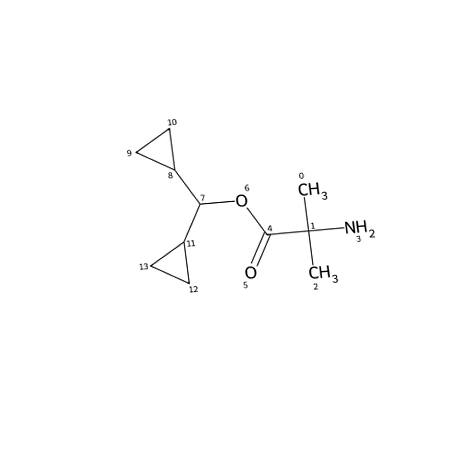 CC(C)(N)C(=O)OC(C1CC1)C1CC1